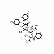 O=C(O)N[C@H](C(=O)N[C@@H]1CCC[C@H]1CC[C@H]1CNCCN1S(=O)(=O)c1ccccc1)C(c1ccc(F)cc1)c1ccc(F)cc1